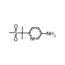 CC(C)(c1ccc(N)cn1)S(C)(=O)=O